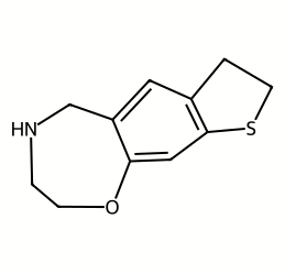 c1c2c(cc3c1CCS3)OCCNC2